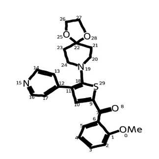 COc1ccccc1C(=O)c1cc(-c2ccncc2)c(N2CCC3(CC2)OCCO3)s1